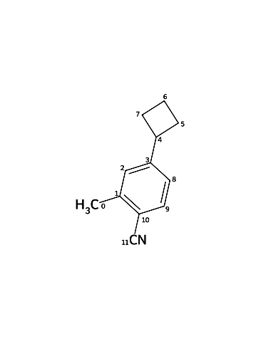 Cc1cc(C2CCC2)ccc1C#N